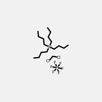 CCCC[N+](CCCC)(CCCC)CCCC.ClCCl.F[P-](F)(F)(F)(F)F